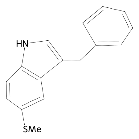 CSc1ccc2[nH]cc(Cc3ccccc3)c2c1